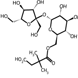 CC(C)(CC(=O)O)C(=O)OC[C@H]1O[C@H](O[C@]2(CO)O[C@H](CO)[C@@H](O)[C@@H]2O)[C@H](O)[C@@H](O)[C@@H]1O